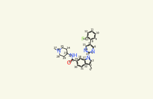 Cc1cn(-c2ncc(-c3ccccc3F)cn2)c2cc(C(=O)NC3CCN(C)CC3)ccc12